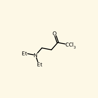 CCN(CC)CCC(=O)C(Cl)(Cl)Cl